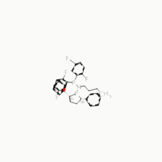 CCCCN(P(c1cc(F)ccc1F)c1cc(F)ccc1F)P1[C@H](c2ccccc2)CC[C@H]1c1ccccc1